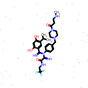 CNCCC(=O)N1CCN(Cc2ccc(N(C(=N)C(=O)NCC(F)(F)F)C(=N)c3cc(C(C)C)c(O)cc3O)cc2)CC1